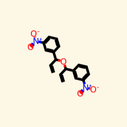 C=CC(OC(C=C)c1cccc([N+](=O)[O-])c1)c1cccc([N+](=O)[O-])c1